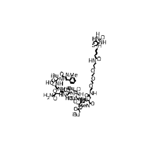 CC[C@H](C)CC(=O)O[C@@H](C)[C@H](CN[C@@H](CC(=O)NCCOCCOCCOCCCNC(=O)CCCC[C@@H]1SC[C@@H]2NC(=O)N[C@@H]21)C(=O)NC)NC(=O)[C@H](CO)NC(=O)[C@@H](NC(=O)[C@H](NC(=O)[C@@H](CCC(N)=O)NC(=O)[C@H](CO)NC(=O)[C@@H](NC(=O)[C@@H](Cc1ccccc1)NC)[C@@H](C)CC)[C@@H](C)CC)[C@@H](C)CC